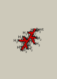 CCCCCC(N)C(=O)NCCCCC(NC(=O)C(N)CCCCN)C(=O)NCCCCC(NC(=O)C(CCCCNC(=O)C(N)CCCCN)NC(=O)C(N)CCCCN)C(=O)NCCCCCCNC(=O)C(CCCCNC(=O)C(CCCCNC(=O)C(N)CCCCN)NC(=O)C(N)CCCCN)NC(=O)C(CCCCNC(=O)C(N)CCCCN)NC(=O)C(N)CCCCN